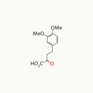 COc1ccc(CCC(=O)C(=O)O)cc1OC